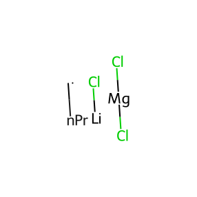 [CH2]CCC.[Cl][Mg][Cl].[Li][Cl]